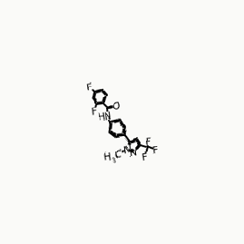 Cn1nc(C(F)(F)F)cc1-c1ccc(NC(=O)c2ccc(F)cc2F)cc1